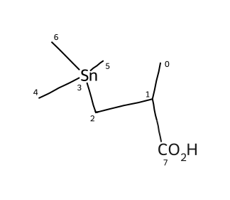 CC([CH2][Sn]([CH3])([CH3])[CH3])C(=O)O